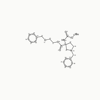 CC(C)(C)OC(=O)NC1(C(=O)OCCOCc2ccccc2)CCN(Cc2ccccc2)C1